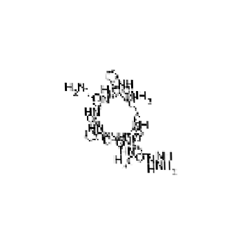 CC(=O)N[C@@H](CCCNC(=N)N)C(=O)N[C@H]1CC(=O)NCCCCC(C(N)=O)NC(=O)[C@H](Cc2c[nH]c3ccccc23)NC(=O)[C@H](CCCCN)NC(=O)[C@@H](Cc2ccccc2)NC(=O)[C@H](C)NC1=O